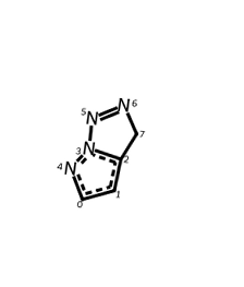 c1cc2n(n1)N=NC2